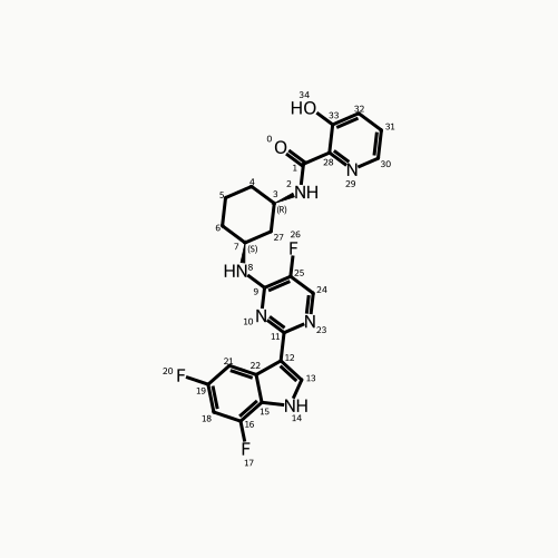 O=C(N[C@@H]1CCC[C@H](Nc2nc(-c3c[nH]c4c(F)cc(F)cc34)ncc2F)C1)c1ncccc1O